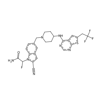 N#Cc1cc2cc(CN3CCC(Nc4ncnc5sc(CC(F)(F)F)cc45)CC3)ccc2n1C(F)C(N)=O